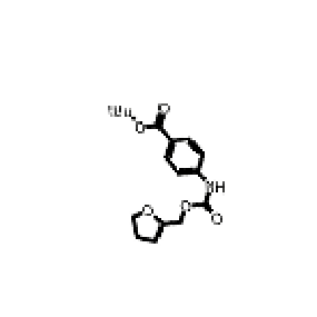 CC(C)(C)OC(=O)c1ccc(NC(=O)OCC2CCCO2)cc1